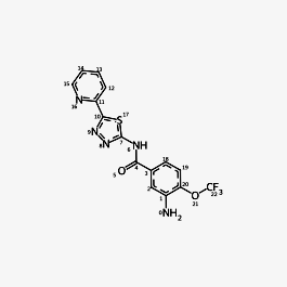 Nc1cc(C(=O)Nc2nnc(-c3ccccn3)s2)ccc1OC(F)(F)F